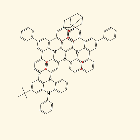 CC(C)(C)c1cc2c3c(c1)N(c1ccccc1)c1ccccc1B3c1cc3c(cc1S2)N(c1c(-c2ccccc2)cc(-c2ccccc2)cc1-c1ccccc1)c1cc(N2C4CC5CC(C4)CC2C5)cc2c1B3c1ccccc1N2c1c(-c2ccccc2)cc(-c2ccccc2)cc1-c1ccccc1